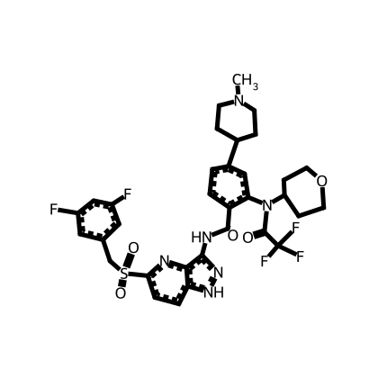 CN1CCC(c2ccc(C(=O)Nc3n[nH]c4ccc(S(=O)(=O)Cc5cc(F)cc(F)c5)nc34)c(N(C(=O)C(F)(F)F)C3CCOCC3)c2)CC1